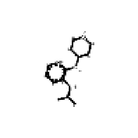 CC(C)Nc1cccnc1OC1CCOCC1